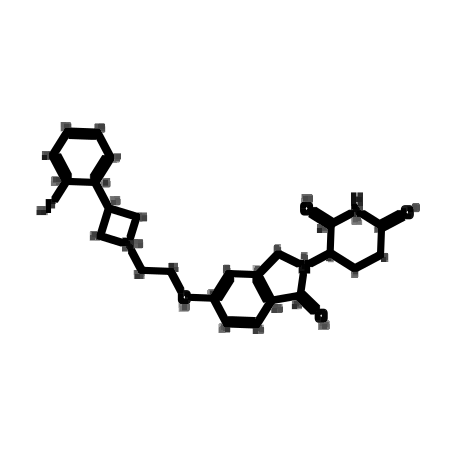 O=C1CCC(N2Cc3cc(OCCN4CC(c5ccccc5F)C4)ccc3C2=O)C(=O)N1